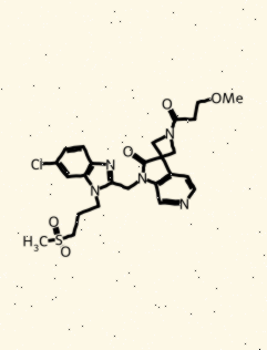 COCCC(=O)N1CC2(C1)C(=O)N(Cc1nc3ccc(Cl)cc3n1CCCS(C)(=O)=O)c1cnccc12